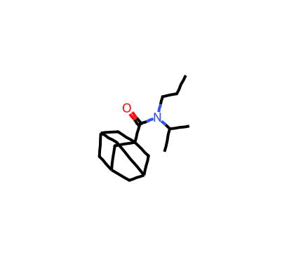 CCCN(C(=O)C12CC3CC(CC(C3)C1)C2)C(C)C